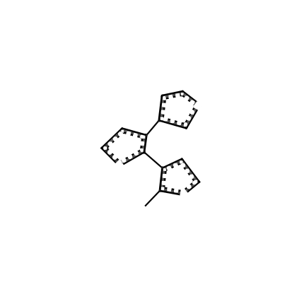 Brc1sccc1-c1sccc1-c1ccsc1